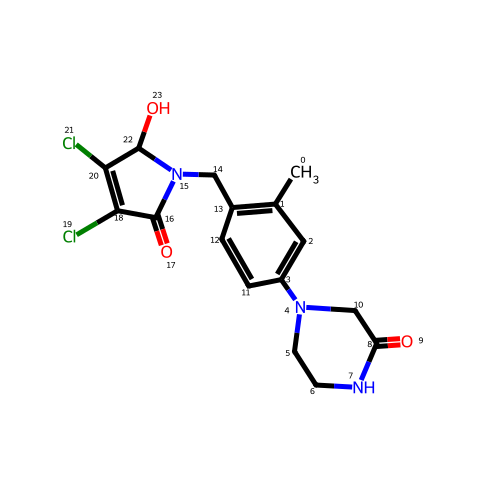 Cc1cc(N2CCNC(=O)C2)ccc1CN1C(=O)C(Cl)=C(Cl)C1O